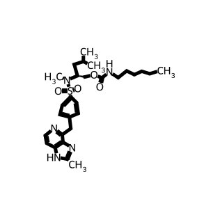 CCCCCCNC(=O)OC[C@H](CC(C)C)N(C)S(=O)(=O)c1ccc(Cc2nccc3[nH]c(C)nc23)cc1